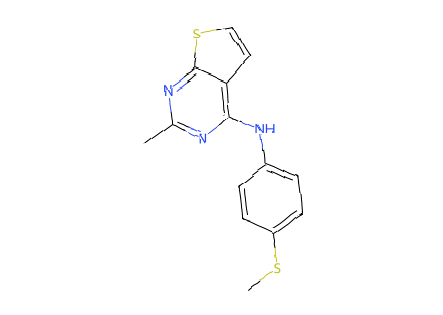 CSc1ccc(Nc2nc(C)nc3sccc23)cc1